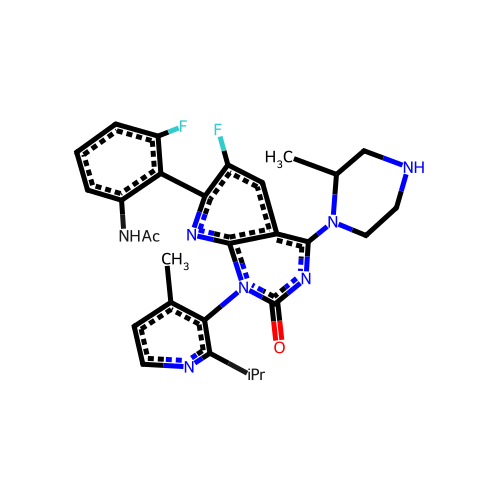 CC(=O)Nc1cccc(F)c1-c1nc2c(cc1F)c(N1CCNCC1C)nc(=O)n2-c1c(C)ccnc1C(C)C